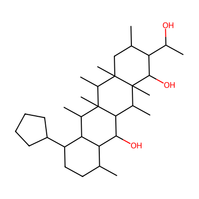 CC(O)C1C(C)CC2(C)C(C)C3(C)C(C)C4C(C5CCCC5)CCC(C)C4C(O)C3C(C)C2(C)C1O